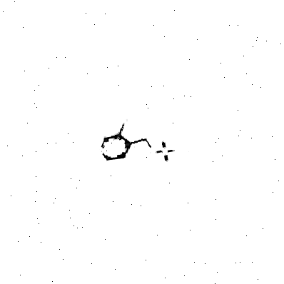 CS(=O)(=O)OCc1ccncc1Br